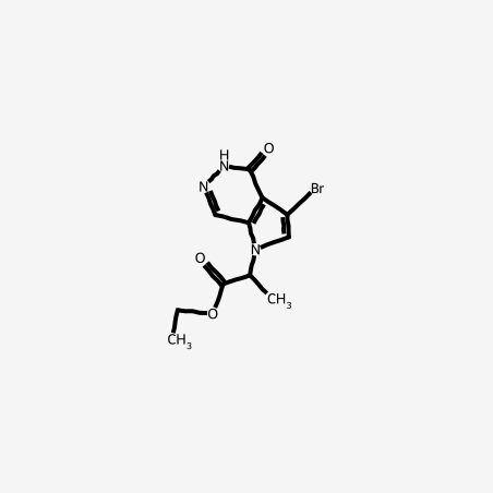 CCOC(=O)C(C)n1cc(Br)c2c(=O)[nH]ncc21